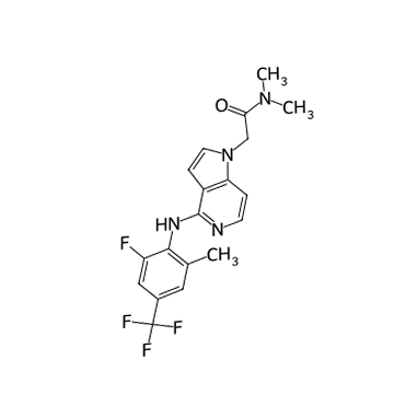 Cc1cc(C(F)(F)F)cc(F)c1Nc1nccc2c1ccn2CC(=O)N(C)C